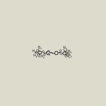 CC1(C)CC(OC(=O)c2cnc(/C=C/C3CCC(C(=O)OC4CC(C)(C)NC(C)(C)C4)CC3)nc2)CC(C)(C)N1